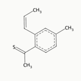 C/C=C\c1cc(C)ccc1C(C)=S